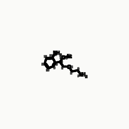 CCOC(COCCN)c1ccccc1N